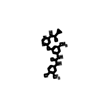 Cc1cc(NC(=O)Nc2ccc(Cl)c(C(F)(F)F)c2)cc(Oc2cc(NC(=O)C3CC3)ncn2)c1